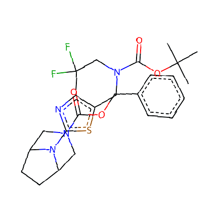 CC(C)(C)OC(=O)N1Cc2sc(N3C4CCC3CN(C(=O)OCc3ccccc3)C4)nc2C(F)(F)C1